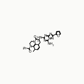 CC(C)C(=O)N1CCN2C(=O)[C@@H](Nc3nc(N)n4nc(-c5ccco5)nc4n3)CC3(C)C=CC(C)C1=C23